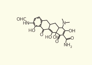 CN(C)C1C(O)=C(C(N)=O)C(=O)C2(O)C(O)=C3C(=O)c4c(ccc(NC=O)c4O)CC3CC12